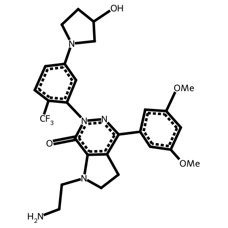 COc1cc(OC)cc(-c2nn(-c3cc(N4CCC(O)C4)ccc3C(F)(F)F)c(=O)c3c2CCN3CCN)c1